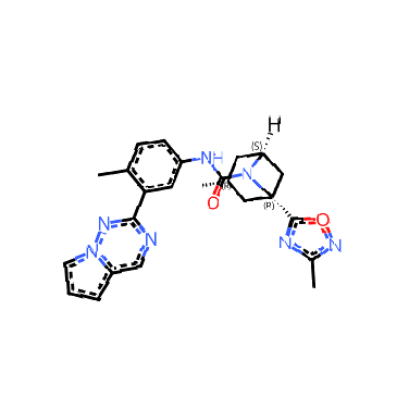 Cc1noc([C@@]23C[C@H](C)C[C@@H](C2)N3C(=O)Nc2ccc(C)c(-c3ncc4cccn4n3)c2)n1